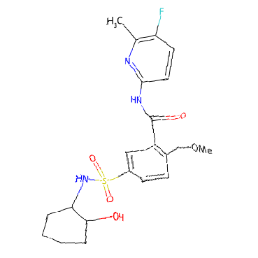 COc1ccc(S(=O)(=O)NC2CCCCC2O)cc1C(=O)Nc1ccc(F)c(C)n1